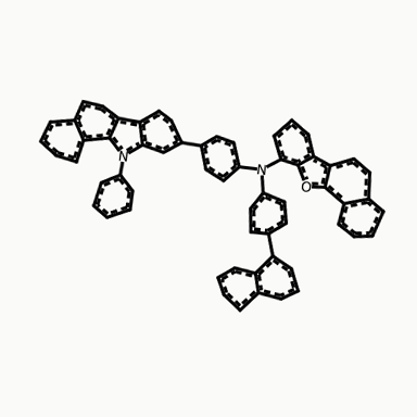 c1ccc(-n2c3cc(-c4ccc(N(c5ccc(-c6cccc7ccccc67)cc5)c5cccc6c5oc5c7ccccc7ccc65)cc4)ccc3c3ccc4ccccc4c32)cc1